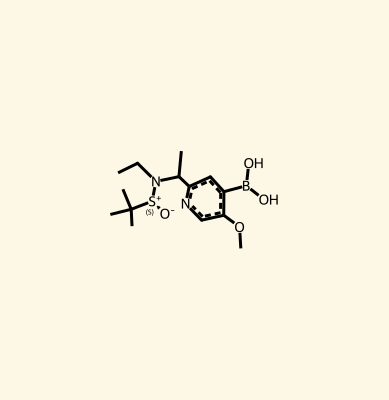 CCN(C(C)c1cc(B(O)O)c(OC)cn1)[S@+]([O-])C(C)(C)C